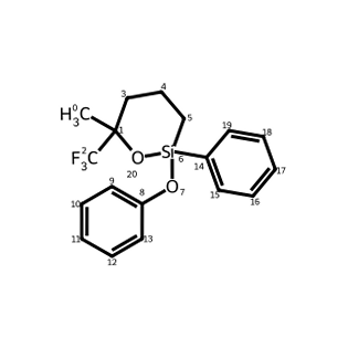 CC1(C(F)(F)F)CCC[Si](Oc2ccccc2)(c2ccccc2)O1